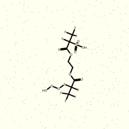 O=C(OCCOC(=O)C(F)(C(F)(F)F)S(=O)(=O)O)C(F)(SOOO)C(F)(F)F